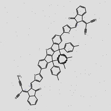 Cc1ccc(C2(c3ccc(C)cc3)c3cc(-c4ccc(/C=C5\C(=O)c6ccccc6C5=C(C#N)C#N)s4)ccc3-c3sc4c(c32)C(c2ccc(C)cc2)(c2ccc(C)cc2)c2cc(-c3ccc(/C=C5\C(=O)C6C=CC=CC6\C5=C(/C#N)C#CN)s3)ccc2-4)cc1